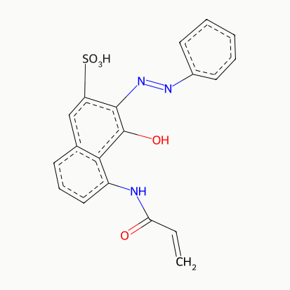 C=CC(=O)Nc1cccc2cc(S(=O)(=O)O)c(N=Nc3ccccc3)c(O)c12